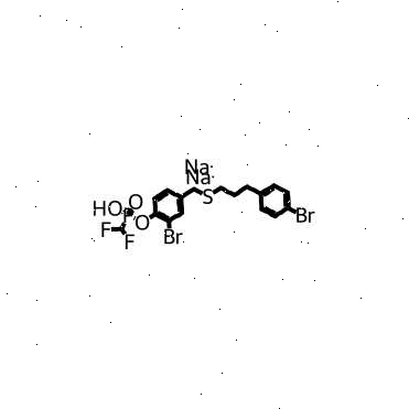 O=P(O)(Oc1ccc(CSCCCc2ccc(Br)cc2)cc1Br)C(F)F.[Na].[Na]